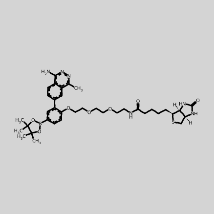 Cc1nnc(N)c2ccc(-c3cc(B4OC(C)(C)C(C)(C)O4)ccc3OCCOCCOCCNC(=O)CCCC[C@@H]3SC[C@@H]4NC(=O)N[C@@H]43)cc12